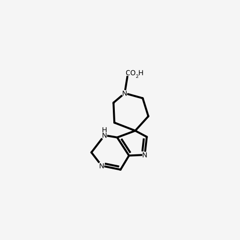 O=C(O)N1CCC2(C=NC3=C2NCN=C3)CC1